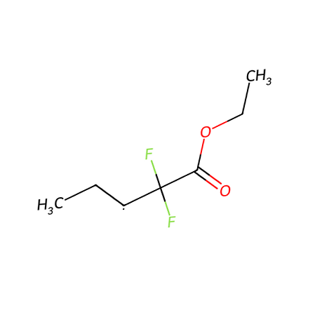 CC[CH]C(F)(F)C(=O)OCC